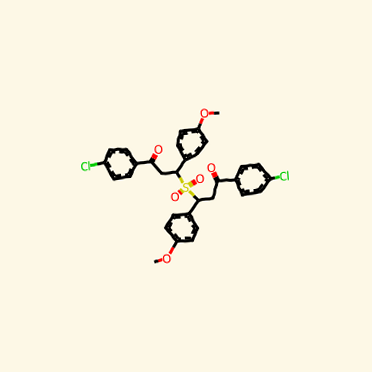 COc1ccc(C(CC(=O)c2ccc(Cl)cc2)S(=O)(=O)C(CC(=O)c2ccc(Cl)cc2)c2ccc(OC)cc2)cc1